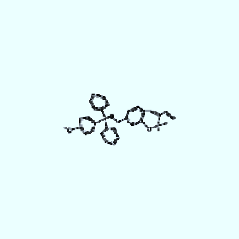 C=CC1=Cc2ccc(COC(c3ccccc3)(c3ccccc3)c3ccc(OC)cc3)cc2OC1(C)C